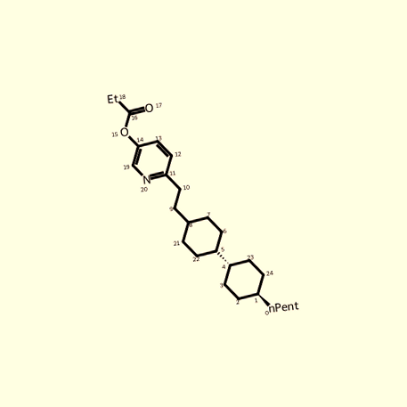 CCCCC[C@H]1CC[C@H](C2CCC(CCc3ccc(OC(=O)CC)cn3)CC2)CC1